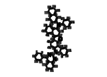 c1ccc(-c2nc(-n3c4ccccc4c4c5oc6cc(N(c7ccccc7)c7ccc8ccccc8c7)c7ccccc7c6c5ccc43)nc3ccccc23)cc1